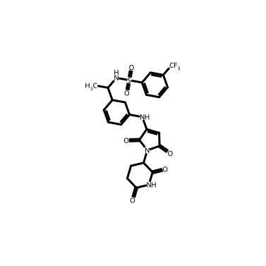 CC(NS(=O)(=O)c1cccc(C(F)(F)F)c1)C1C=CC=C(NC2=CC(=O)N(C3CCC(=O)NC3=O)C2=O)C1